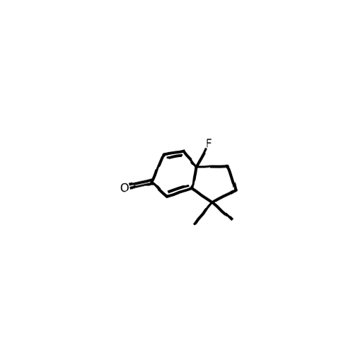 CC1(C)CCC2(F)C=CC(=O)C=C12